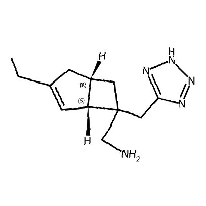 CCC1=C[C@@H]2[C@H](C1)CC2(CN)Cc1nn[nH]n1